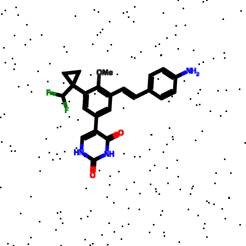 COc1c(/C=C/c2ccc(N)cc2)cc(-c2c[nH]c(=O)[nH]c2=O)cc1C1(C(F)F)CC1